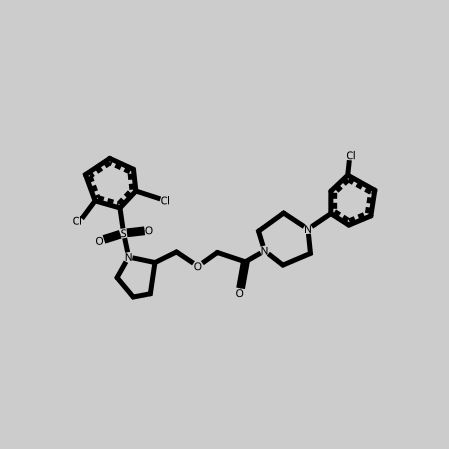 O=C(COCC1CCCN1S(=O)(=O)c1c(Cl)cccc1Cl)N1CCN(c2cccc(Cl)c2)CC1